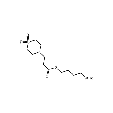 CCCCCCCCCCCCCCOC(=O)CCN1CCS(=O)(=O)CC1